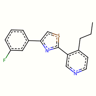 CCCc1ccncc1-c1nc(-c2cccc(F)c2)cs1